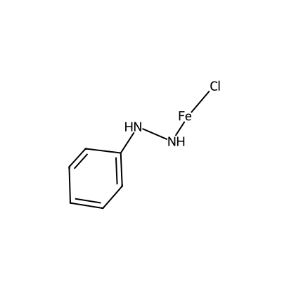 [Cl][Fe][NH]Nc1ccccc1